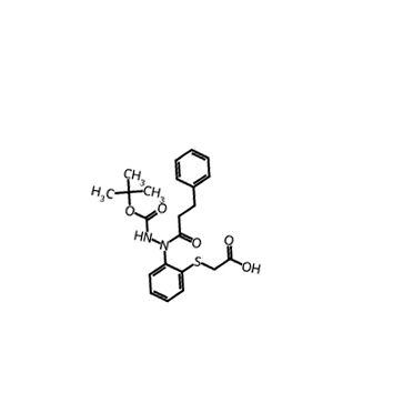 CC(C)(C)OC(=O)NN(C(=O)CCc1ccccc1)c1ccccc1SCC(=O)O